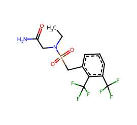 CCN(CC(N)=O)S(=O)(=O)Cc1cccc(C(F)(F)F)c1C(F)(F)F